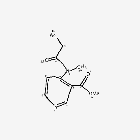 COC(=O)c1cnccc1N(C)C(=O)CC(C)=O